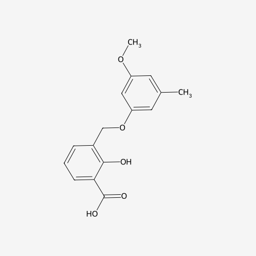 COc1cc(C)cc(OCc2cccc(C(=O)O)c2O)c1